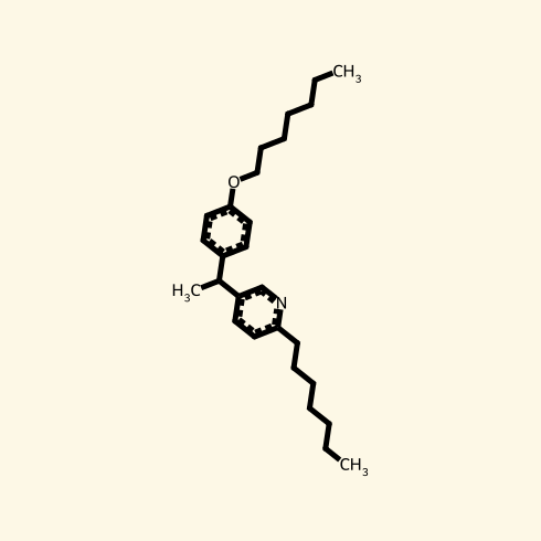 CCCCCCCOc1ccc(C(C)c2ccc(CCCCCCC)nc2)cc1